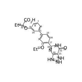 CCOc1cc(-c2cccc(O[C@@H](CC)C(=O)O)c2)ccc1-c1nc2c(c(=O)[nH]1)NNN2